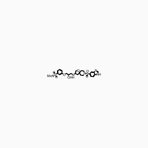 CNS(=O)(=O)c1cccc(OC[C@@H](O)CN[C@H]2COC3(CCN(S(=O)(=O)c4ccc5[nH]cnc5c4)CC3)C2)c1